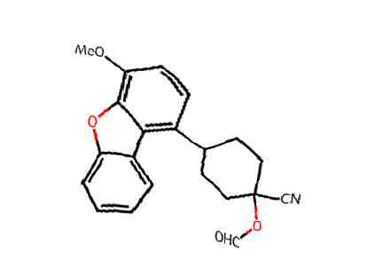 COc1ccc(C2CCC(C#N)(OC=O)CC2)c2c1oc1ccccc12